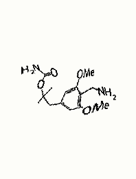 COc1cc(CC(C)(C)OC(N)=O)cc(OC)c1CN